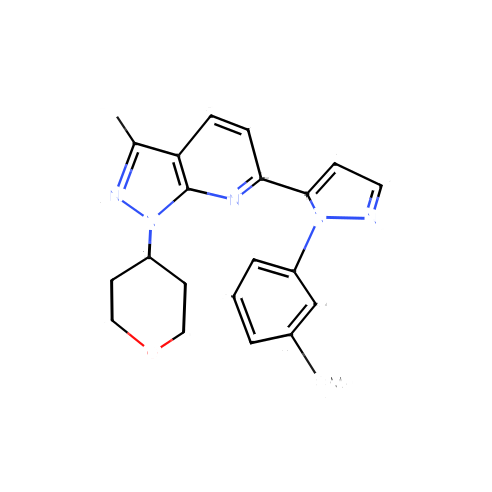 CCc1nn(C2CCOCC2)c2nc(-c3ccnn3-c3cccc(OC)c3)ccc12